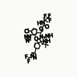 CC(C)(C)C[C@]1(C2(C)C=CC(c3cnn(C(F)F)c3)=CC2)NC(=N)N([C@H](COC(=O)NC(C)(C)C(F)(F)F)c2ccc(Cl)c(-n3cncn3)c2)C1=O